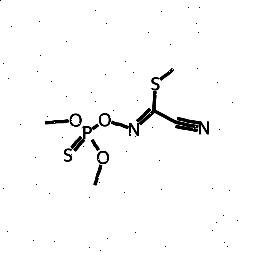 COP(=S)(OC)ON=C(C#N)SC